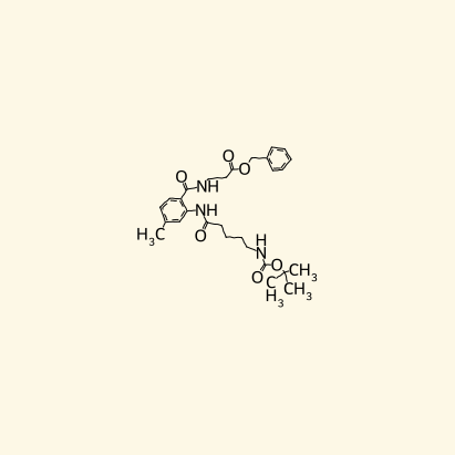 Cc1ccc(C(=O)NCCC(=O)OCc2ccccc2)c(NC(=O)CCCCNC(=O)OC(C)(C)C)c1